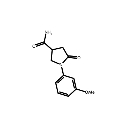 COc1cccc(N2CC(C(N)=O)CC2=O)c1